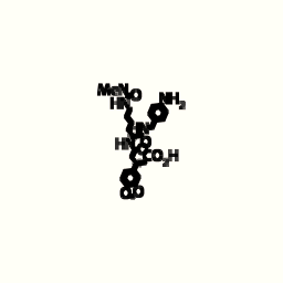 CNC(=O)NCCCC[C@H](NC(=O)C[C@@H](CC(=O)O)c1ccc2c(c1)OCO2)C(=O)NCc1ccc(N)cc1